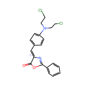 O=C1OC(c2ccccc2)=N/C1=C\c1ccc(N(CCCl)CCCl)cc1